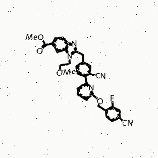 COCCn1c(Cc2ccc(-c3cccc(OCc4ccc(C#N)cc4F)n3)c(C#N)c2)nc2ccc(C(=O)OC)cc21